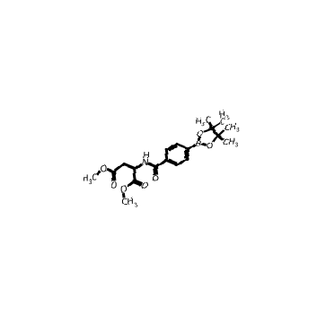 COC(=O)CC(NC(=O)c1ccc(B2OC(C)(C)C(C)(C)O2)cc1)C(=O)OC